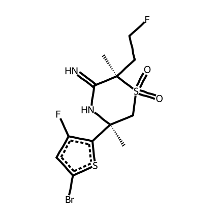 C[C@@]1(c2sc(Br)cc2F)CS(=O)(=O)[C@](C)(CCF)C(=N)N1